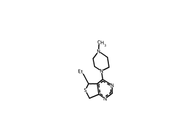 CCC1SCc2ncnc(N3CCN(C)CC3)c21